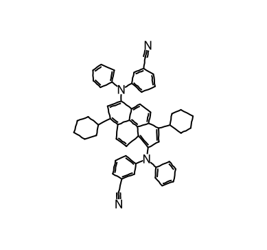 N#Cc1cccc(N(c2ccccc2)c2cc(C3CCCCC3)c3ccc4c(N(c5ccccc5)c5cccc(C#N)c5)cc(C5CCCCC5)c5ccc2c3c54)c1